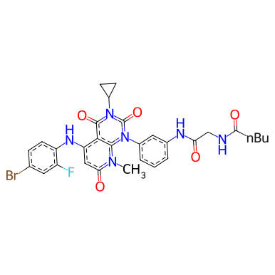 CCCCC(=O)NCC(=O)Nc1cccc(-n2c(=O)n(C3CC3)c(=O)c3c(Nc4ccc(Br)cc4F)cc(=O)n(C)c32)c1